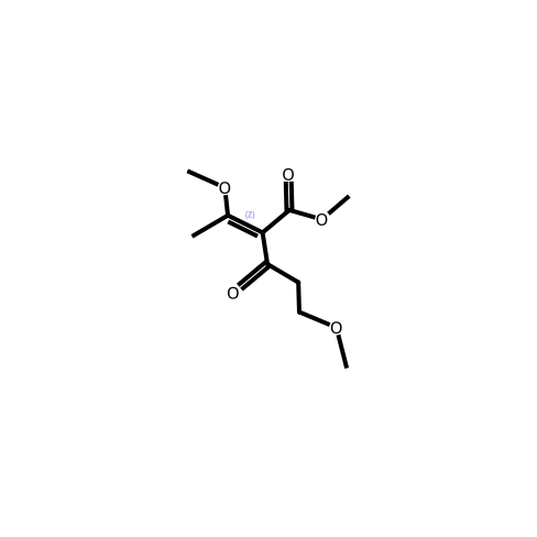 COCCC(=O)/C(C(=O)OC)=C(\C)OC